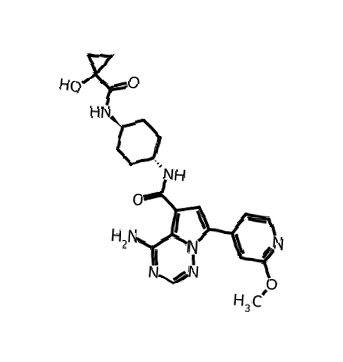 COc1cc(-c2cc(C(=O)N[C@H]3CC[C@H](NC(=O)C4(O)CC4)CC3)c3c(N)ncnn23)ccn1